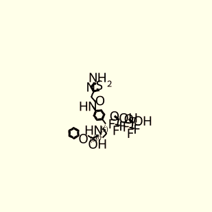 Nc1nc(CC(=O)Nc2ccc(C[C@@H]3CC[C@H]([C@H](O)COc4ccccc4)N3)cc2)cs1.O=C(O)C(F)(F)F.O=C(O)C(F)(F)F